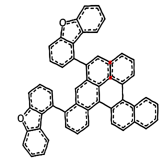 c1ccc(-c2c(-c3c4cccc(-c5cccc6oc7ccccc7c56)c4cc4c(-c5cccc6oc7ccccc7c56)cccc34)ccc3ccccc23)cc1